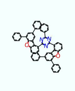 c1ccc(-c2cc(-c3ccccc3)c3oc4cccc(-c5nc(-c6ccccc6)nc(-c6cccc7oc8c(-c9ccccc9)cc(-c9ccccc9)cc8c67)n5)c4c3c2)cc1